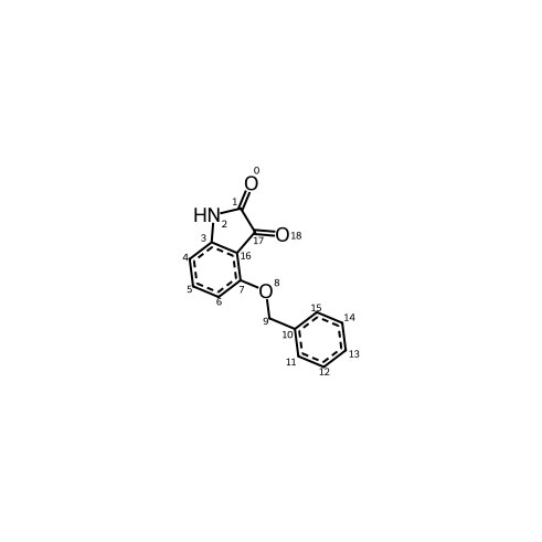 O=C1Nc2cccc(OCc3ccccc3)c2C1=O